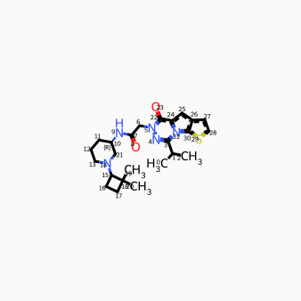 CC(C)c1nn(CC(=O)N[C@@H]2CCCN(C3CCC3(C)C)C2)c(=O)c2cc3ccsc3n12